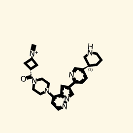 C#[N+][C@H]1C[C@H](C(=O)N2CCN(c3ccnn4cc(-c5ccc([C@@H]6CCCNC6)cn5)cc34)CC2)C1